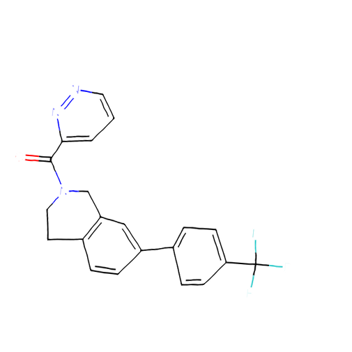 O=C(c1cccnn1)N1CCc2ccc(-c3ccc(C(F)(F)F)cc3)cc2C1